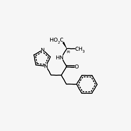 C[C@@H](NC(=O)C(Cc1ccccc1)Cn1ccnc1)C(=O)O